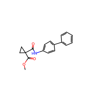 COC(=O)C1(C(=O)Nc2ccc(-c3ccccc3)cc2)CC1